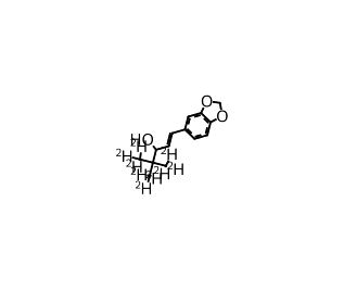 [2H]C([2H])([2H])C(C(O)/C=C/c1ccc2c(c1)OCO2)(C([2H])([2H])[2H])C([2H])([2H])[2H]